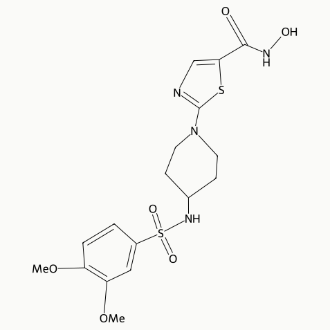 COc1ccc(S(=O)(=O)NC2CCN(c3ncc(C(=O)NO)s3)CC2)cc1OC